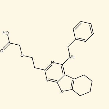 O=C(O)COCCc1nc(NCc2ccccc2)c2c3c(sc2n1)CCCC3